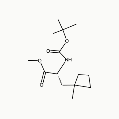 COC(=O)[C@@H](CC1(C)CCC1)NC(=O)OC(C)(C)C